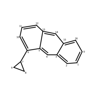 c1ccc2cc3c(C4CC4)cccc3cc2c1